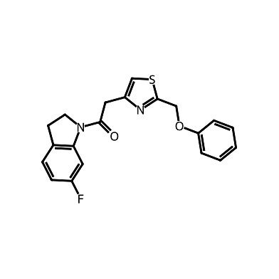 O=C(Cc1csc(COc2ccccc2)n1)N1CCc2ccc(F)cc21